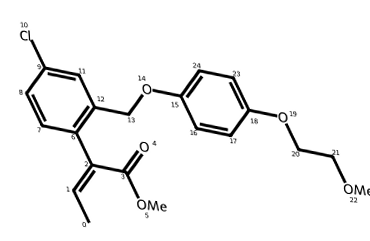 CC=C(C(=O)OC)c1ccc(Cl)cc1COc1ccc(OCCOC)cc1